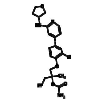 CC(C)CC(C)(COc1ccc(-c2ccnc(NC3CCOC3)c2)cc1Cl)OC(N)=O